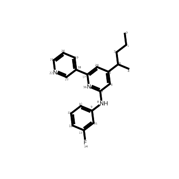 CCCC(C)c1cc(Nc2cccc(F)c2)nc(-c2cccnc2)c1